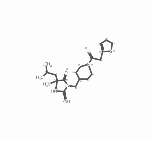 CC(C)CC1(C)NC(=N)N(CC2CCN(C(=O)CC3=CCCS3)CC2)C1=O